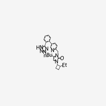 CCCCc1cn(C2CCC2CC)c(=O)n1Cc1ccc(-c2ccccc2-c2nnn[nH]2)cn1